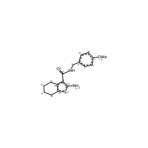 COc1ccc(CNC(=O)c2c(N)sc3c2CCCC3)cc1